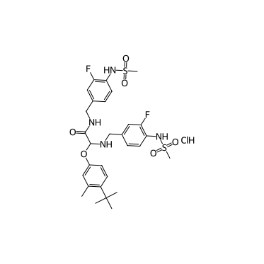 Cc1cc(OC(NCc2ccc(NS(C)(=O)=O)c(F)c2)C(=O)NCc2ccc(NS(C)(=O)=O)c(F)c2)ccc1C(C)(C)C.Cl